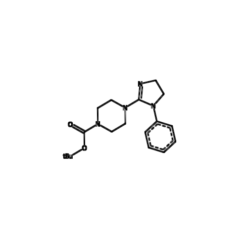 CC(C)(C)OC(=O)N1CCN(C2=NCCN2c2ccccc2)CC1